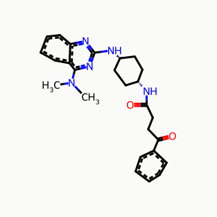 CN(C)c1nc(N[C@H]2CC[C@@H](NC(=O)CCC(=O)c3ccccc3)CC2)nc2ccccc12